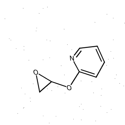 c1ccc(OC2CO2)nc1